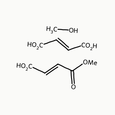 CO.COC(=O)C=CC(=O)O.O=C(O)C=CC(=O)O